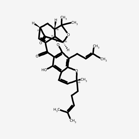 CC(C)=CCC[C@]1(C)C=Cc2c(O)c3c(c(CC=C(C)C)c2O1)O[C@]12C(=C[C@@H]4C[C@@H]1C(C)(C)O[C@H]2C4=O)C3=O